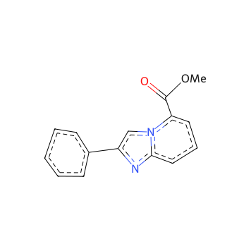 COC(=O)c1cccc2nc(-c3ccccc3)cn12